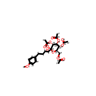 COc1ccc(CCCC[C@@]2(O)O[C@H](COC(C)=O)[C@@H](OC(C)=O)[C@H](OC(C)=O)[C@H]2OC(C)=O)cc1